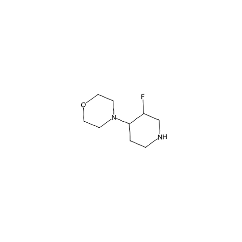 FC1CNCCC1N1CCOCC1